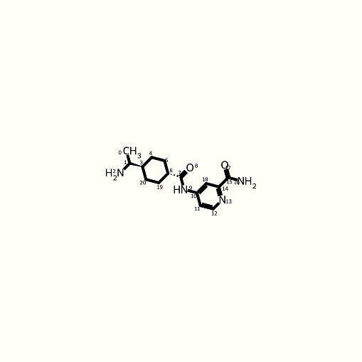 CC(N)[C@H]1CC[C@H](C(=O)Nc2ccnc(C(N)=O)c2)CC1